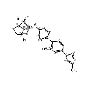 Cc1nnn(-c2ccc(-c3ccc(O[C@@H]4C[C@H]5CC[C@@H]([C@H]4F)N5C)nn3)c(O)c2)n1